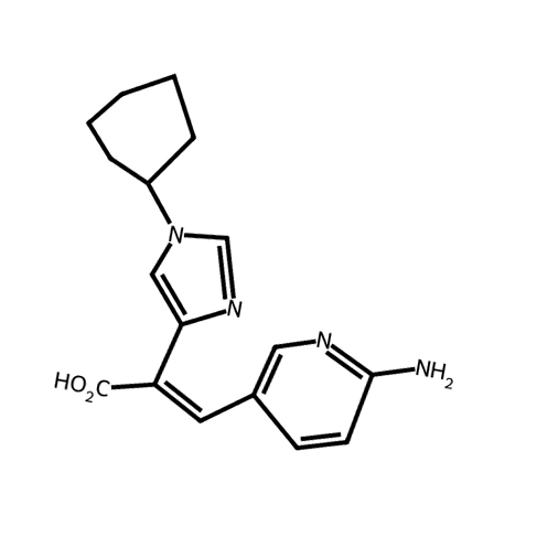 Nc1ccc(/C=C(/C(=O)O)c2cn(C3CCCCC3)cn2)cn1